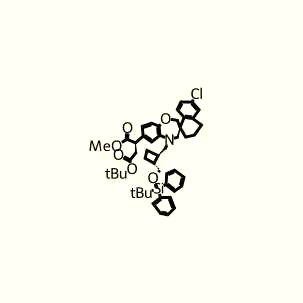 COC(=O)[C@H](CC(=O)OC(C)(C)C)c1ccc2c(c1)N(C[C@@H]1CC[C@H]1CO[Si](c1ccccc1)(c1ccccc1)C(C)(C)C)C[C@@]1(CCCc3cc(Cl)ccc31)CO2